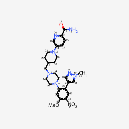 COc1cc(N2CCN(CC3CCN(c4ccc(C(N)=O)nc4)CC3)CC2)c(-c2cnn(C)c2)cc1[N+](=O)[O-]